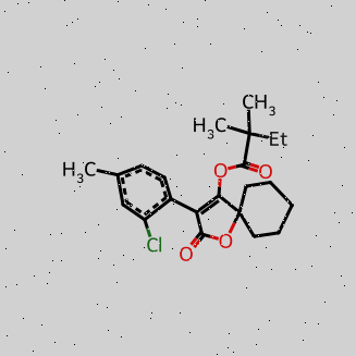 CCC(C)(C)C(=O)OC1=C(c2ccc(C)cc2Cl)C(=O)OC12CCCCC2